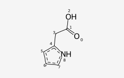 O=C(O)Cc1c[c]c[nH]1